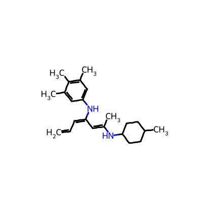 C=C/C=C(\C=C(/C)NC1CCC(C)CC1)Nc1cc(C)c(C)c(C)c1